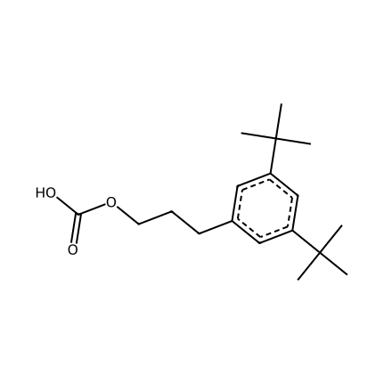 CC(C)(C)c1cc(CCCOC(=O)O)cc(C(C)(C)C)c1